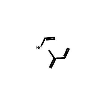 C=CC#N.C=CC(=C)C